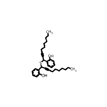 CCCCCCCC#CC(SC(C#CCCCCCCC)c1ccccc1O)c1ccccc1O